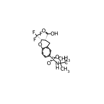 CC(C)(C)NS(=O)(=O)c1ccc2c(c1)C[C@@H](C(=O)O)[C@@H](C(F)(F)F)O2